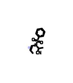 C/C=C\N(C(C)C#N)S(=O)(=O)c1ccccc1